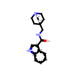 O=C(NCC12CCN(CC1)CC2)c1c[nH]c2ccccc12